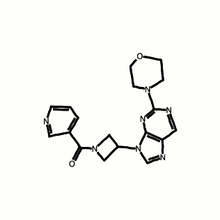 O=C(c1cccnc1)N1CC(n2cnc3cnc(N4CCOCC4)nc32)C1